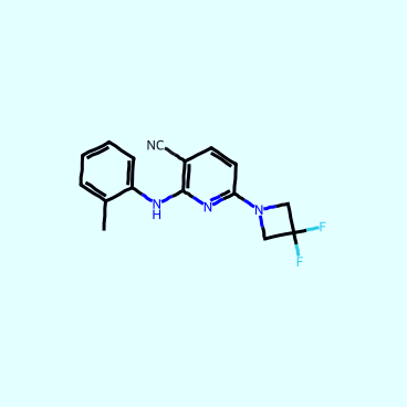 Cc1ccccc1Nc1nc(N2CC(F)(F)C2)ccc1C#N